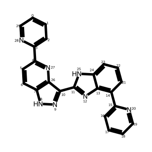 c1ccc(-c2ccc3[nH]nc(-c4nc5c(-c6ccccn6)cccc5[nH]4)c3n2)nc1